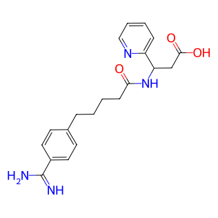 N=C(N)c1ccc(CCCCC(=O)NC(CC(=O)O)c2ccccn2)cc1